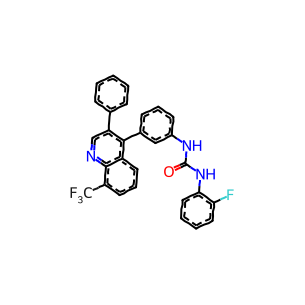 O=C(Nc1cccc(-c2c(-c3ccccc3)cnc3c(C(F)(F)F)cccc23)c1)Nc1ccccc1F